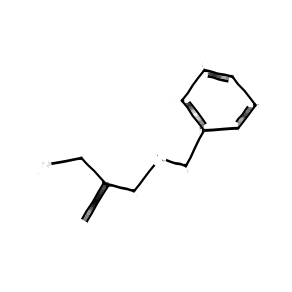 C=C(CN)CNCc1ccccc1